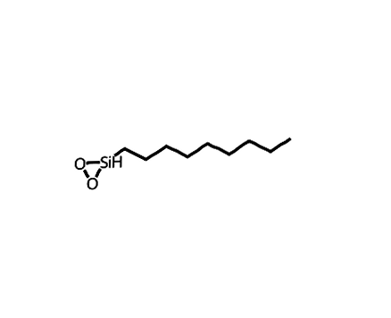 CCCCCCCCC[SiH]1OO1